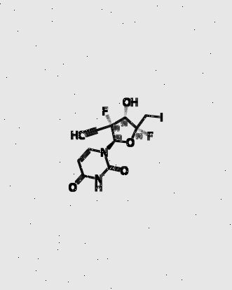 C#C[C@]1(F)[C@H](n2ccc(=O)[nH]c2=O)O[C@](F)(CI)[C@H]1O